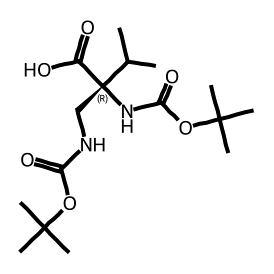 CC(C)[C@](CNC(=O)OC(C)(C)C)(NC(=O)OC(C)(C)C)C(=O)O